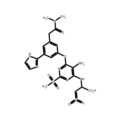 CN(C)C(=O)Cc1cc(Oc2nc(S(C)(=O)=O)nc(NC(C=S(=O)=O)C(=O)O)c2[N+](=O)[O-])cc(-c2ncc[nH]2)c1